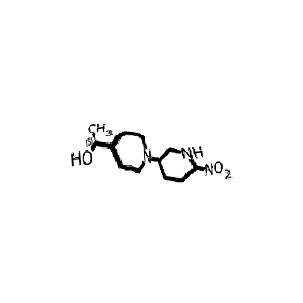 C[C@H](O)C1CCN(C2CCC([N+](=O)[O-])NC2)CC1